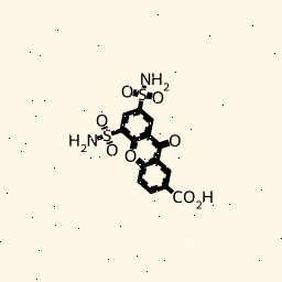 NS(=O)(=O)c1cc(S(N)(=O)=O)c2oc3ccc(C(=O)O)cc3c(=O)c2c1